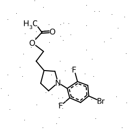 CC(=O)OCCC1CCN(c2c(F)cc(Br)cc2F)C1